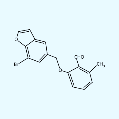 Cc1cccc(OCc2cc(Br)c3occc3c2)c1C=O